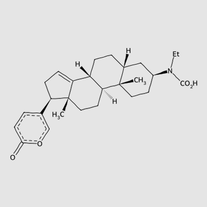 CCN(C(=O)O)[C@H]1CC[C@@]2(C)[C@H](CC[C@H]3C4=CC[C@H](c5ccc(=O)oc5)[C@@]4(C)CC[C@@H]32)C1